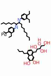 CCCCCCCCC(=Nc1ccc(CC)c(CC)c1)C(CCCCCC)=Nc1ccc(CC)c(CC)c1.CCCCc1ccc(CC(O)C(O)C(O)CO)c2cc(O)c(O)cc12.[Pd]